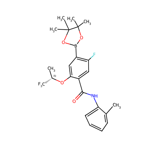 Cc1ccccc1NC(=O)c1cc(F)c(B2OC(C)(C)C(C)(C)O2)cc1O[C@@H](C)C(F)(F)F